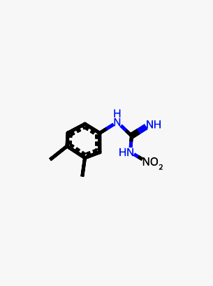 Cc1ccc(NC(=N)N[N+](=O)[O-])cc1C